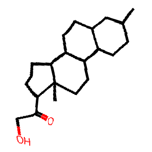 CC1CCC2C(CCC3C2CCC2(C)C(C(=O)CO)CCC32)C1